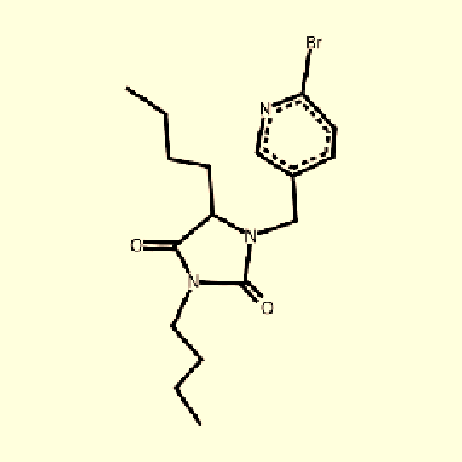 CCCCC1C(=O)N(CCCC)C(=O)N1Cc1ccc(Br)nc1